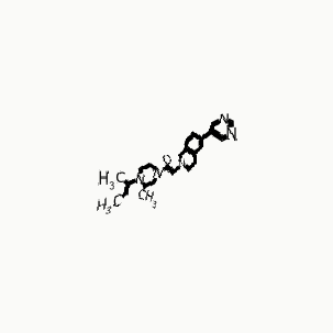 CCC(C)N1CCN(C(=O)CN2CCc3cc(-c4cncnc4)ccc3C2)C[C@H]1C